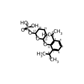 CC(C)c1cccc(C(C)C)c1OC1CCCC(OP(=O)(O)O)O1